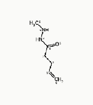 C=CCCC(=O)NNC